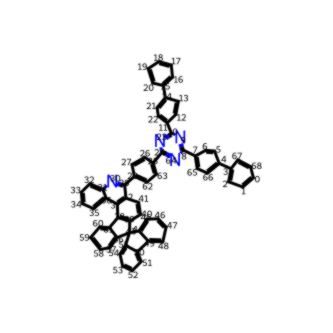 c1ccc(-c2ccc(-c3nc(-c4ccc(-c5ccccc5)cc4)nc(-c4ccc(-c5nc6ccccc6c6c7c(ccc56)C5(c6ccccc6-c6ccccc65)c5ccccc5-7)cc4)n3)cc2)cc1